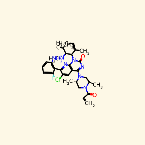 C=CC(=O)N1C[C@H](C)N(c2nc(=O)n(C(/C(C)=C\C)C(N=C)C(C)C)c3nc(-c4c(N)cccc4F)c(Cl)cc23)C[C@H]1C